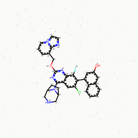 Oc1cc(-c2c(Cl)cc3c(N4C5CCC4CNC5)nc(OCc4cccn5ccnc45)nc3c2F)c2ccccc2c1